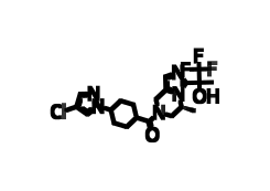 C[C@H]1CN(C(=O)C2CCC(n3cc(Cl)cn3)CC2)Cc2cnc(C(C)(O)C(F)(F)F)n21